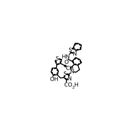 C#Cc1cscc1-c1ccc(O)c(Cc2sc(N3CCc4cccc(C(=O)Nc5nc6ccccc6s5)c4C3)nc2C(=O)O)c1